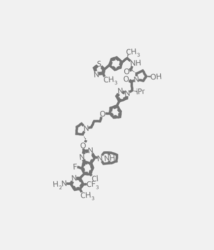 Cc1cc(N)nc(-c2c(Cl)cc3c(N4CC5CCC(C4)N5)nc(OC[C@@H]4CCCN4CCCOc4cccc(-c5cnn([C@H](C(=O)N6C[C@H](O)C[C@H]6C(=O)N[C@@H](C)c6ccc(-c7scnc7C)cc6)C(C)C)c5)c4)nc3c2F)c1C(F)(F)F